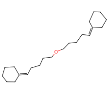 C(CCCCOCCCCC=C1CCCCC1)=C1CCCCC1